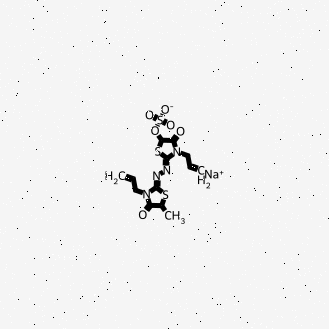 C=CCN1C(=O)C(C)SC1=NN=C1SC(OS(=O)(=O)[O-])C(=O)N1CC=C.[Na+]